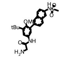 COc1c(-c2ccc3cc(NS(C)(=O)=O)ccc3c2)cc(NC(=O)CN)cc1C(C)(C)C